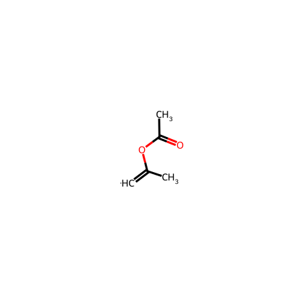 [CH]=C(C)OC(C)=O